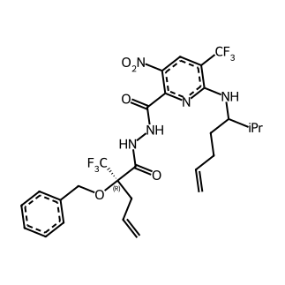 C=CCCC(Nc1nc(C(=O)NNC(=O)[C@@](CC=C)(OCc2ccccc2)C(F)(F)F)c([N+](=O)[O-])cc1C(F)(F)F)C(C)C